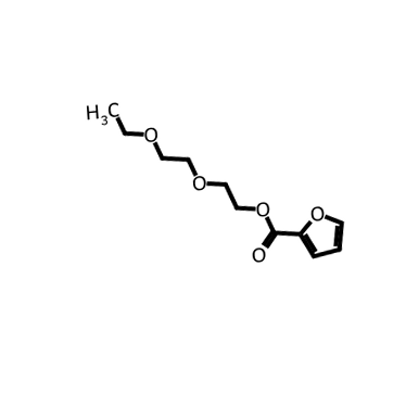 CCOCCOCCOC(=O)c1ccco1